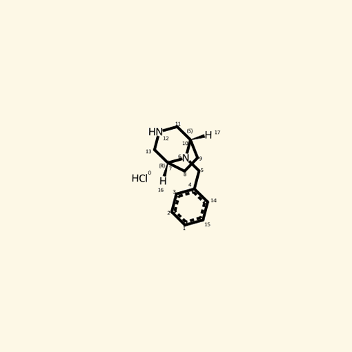 Cl.c1ccc(CN2[C@@H]3CC[C@H]2CNC3)cc1